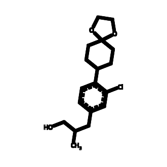 CC(CO)Cc1ccc(C2CCC3(CC2)OCCO3)c(Cl)c1